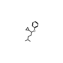 CN(C)CCC(Oc1ccccc1)C1CC1